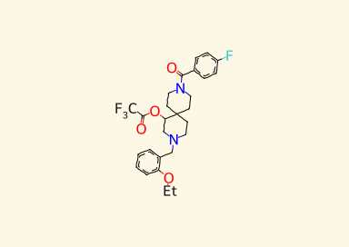 CCOc1ccccc1CN1CCC2(CCN(C(=O)c3ccc(F)cc3)CC2)C(OC(=O)C(F)(F)F)C1